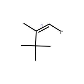 C/C(=C/F)C(C)(C)C